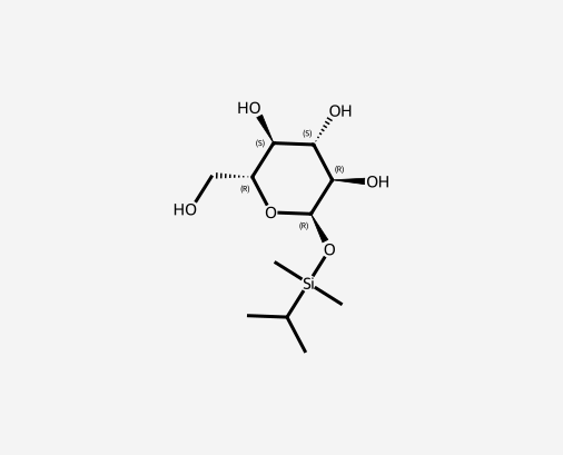 CC(C)[Si](C)(C)O[C@H]1O[C@H](CO)[C@@H](O)[C@H](O)[C@H]1O